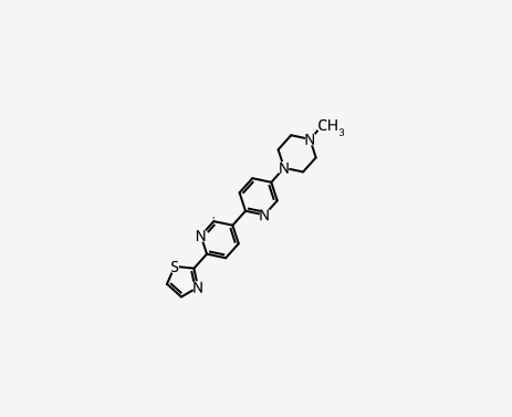 CN1CCN(c2ccc(-c3[c]nc(-c4nccs4)cc3)nc2)CC1